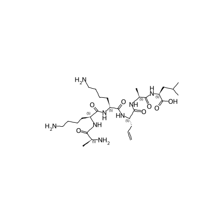 C=CC[C@H](NC(=O)[C@H](CCCCN)NC(=O)[C@H](CCCCN)NC(=O)[C@H](C)N)C(=O)N[C@@H](C)C(=O)N[C@@H](CC(C)C)C(=O)O